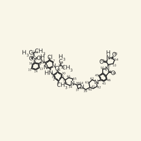 Cc1cc(Nc2ncc(Cl)c(Nc3ccccc3S(=O)(=O)C(C)C)n2)c(OC(C)C)cc1C1CCN(C2CN(CC3CCN(c4ccc5c(c4)CN(C4CCC(=O)NC4=O)C5=O)CC3)C2)CC1